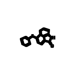 O=C1Nc2cccc3c(Sc4ccccc4)ccc1c23